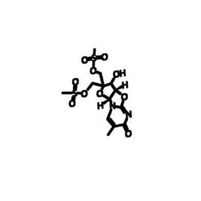 Cc1cn2c(nc1=O)O[C@H]1C(O)C(COS(C)(=O)=O)(COS(C)(=O)=O)O[C@H]12